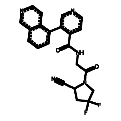 N#CC1CC(F)(F)CN1C(=O)CNC(=O)c1ccncc1-c1cccc2cnccc12